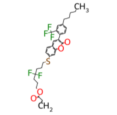 C=CC(=O)OCCCC(F)(F)CCCSc1ccc2cc(-c3ccc(CCCCC)cc3C(F)(F)F)c(=O)oc2c1